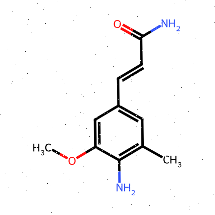 COc1cc(/C=C/C(N)=O)cc(C)c1N